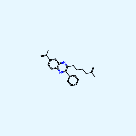 C=C(C)CCCCc1nc2cc(C(=C)C)ccc2nc1-c1ccccc1